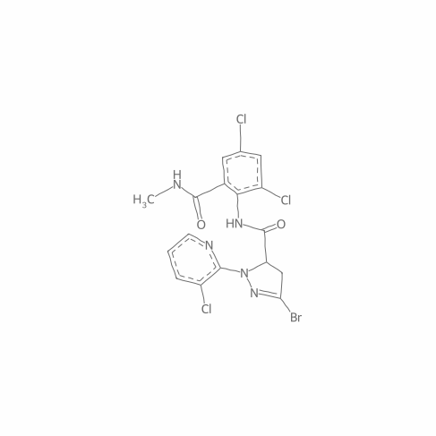 CNC(=O)c1cc(Cl)cc(Cl)c1NC(=O)C1CC(Br)=NN1c1ncccc1Cl